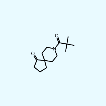 CC(C)(C)C(=O)N1CCC2(CCCC2=O)CC1